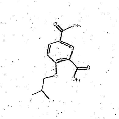 CC(C)COc1ccc(C(=O)O)cc1C(=O)O